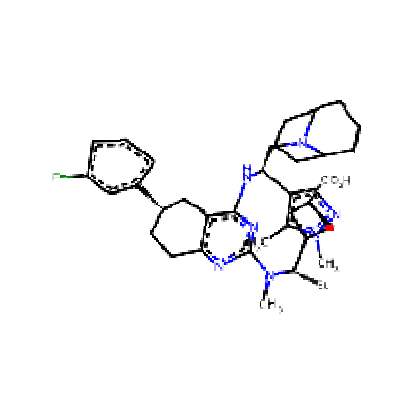 CC[C@@H](N(C)c1nc2c(c(N[C@@H](CN3C4CCCC3CCC4)c3cnn(C)c3C)n1)C[C@H](c1cccc(F)c1)CC2)C12CC(C(=O)O)(C1)C2